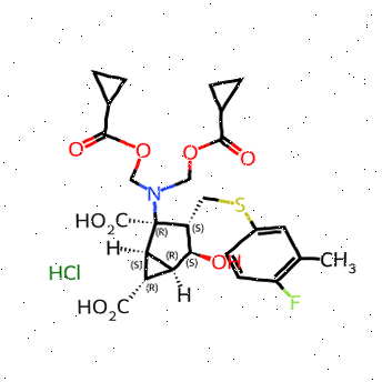 Cc1cc(SC[C@@H]2[C@@H](O)[C@H]3[C@H](C(=O)O)[C@H]3[C@@]2(C(=O)O)N(COC(=O)C2CC2)COC(=O)C2CC2)ccc1F.Cl